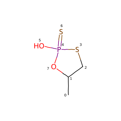 CC1CSP(O)(=S)O1